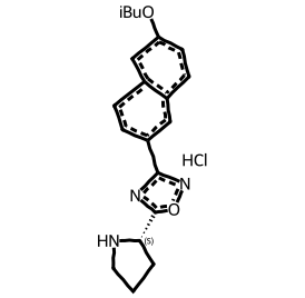 CC(C)COc1ccc2cc(-c3noc([C@@H]4CCCN4)n3)ccc2c1.Cl